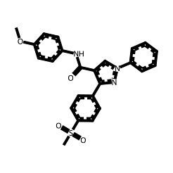 COc1ccc(NC(=O)c2cn(-c3ccccc3)nc2-c2ccc(S(C)(=O)=O)cc2)cc1